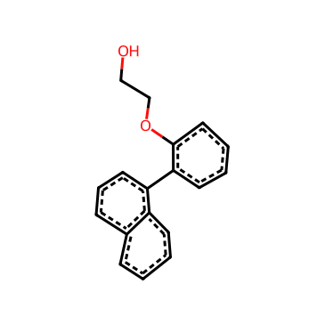 OCCOc1ccccc1-c1cccc2ccccc12